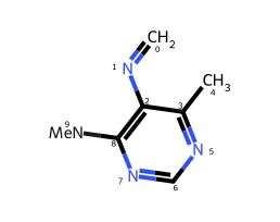 C=Nc1c(C)ncnc1NC